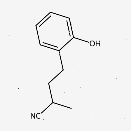 CC(C#N)CCc1ccccc1O